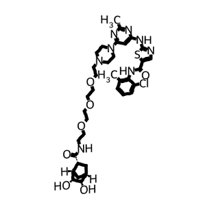 Cc1nc(Nc2ncc(C(=O)Nc3c(C)cccc3Cl)s2)cc(N2CCN(CCOCCOCCOCCNC(=O)[C@@H]3C[C@H]4C[C@@H]3[C@H](O)[C@@H]4O)CC2)n1